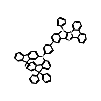 CC1(C)c2ccccc2-c2ccc(N(c3ccc(-c4ccc5c(c4)c4nc6c7ccccc7c7ccccc7n6c4n5-c4ccccc4)cc3)c3cccc4c3-c3ccccc3C4(c3ccccc3)c3ccccc3)cc21